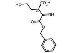 N=C(C(=O)OCc1ccccc1)[C@@H](CCO)C(=O)O